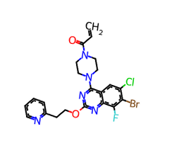 C=CC(=O)N1CCN(c2nc(OCCc3ccccn3)nc3c(F)c(Br)c(Cl)cc23)CC1